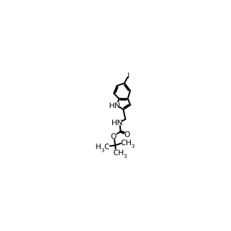 CC(C)(C)OC(=O)NCc1cc2cc(I)ccc2[nH]1